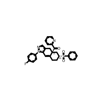 O=C(c1ccccn1)[C@]12Cc3cnn(-c4ccc(F)cc4)c3C=C1CC[C@@H](S(=O)(=O)c1ccccc1)C2